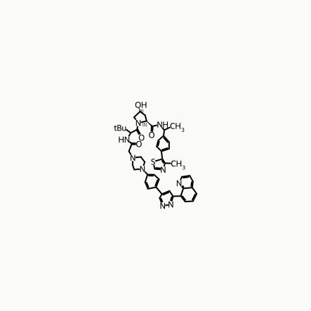 Cc1ncsc1-c1ccc(C(C)NC(=O)[C@@H]2C[C@@H](O)CN2C(=O)C(NC(=O)CN2CCN(c3ccc(-c4cnnc(-c5cccc6cccnc56)c4)cc3)CC2)C(C)(C)C)cc1